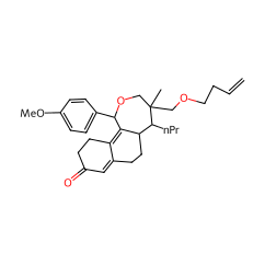 C=CCCOCC1(C)COC(c2ccc(OC)cc2)C2=C3CCC(=O)C=C3CCC2C1CCC